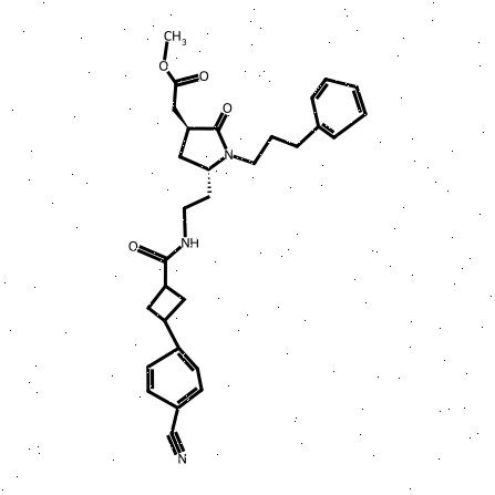 COC(=O)C[C@@H]1C[C@@H](CCNC(=O)C2CC(c3ccc(C#N)cc3)C2)N(CCCc2ccccc2)C1=O